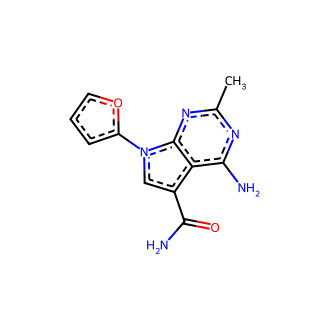 Cc1nc(N)c2c(C(N)=O)cn(-c3ccco3)c2n1